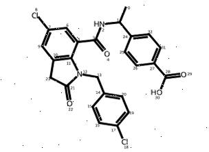 CC(NC(=O)c1cc(Cl)cc2c1N(Cc1ccc(Cl)cc1)C(=O)C2)c1ccc(C(=O)O)cc1